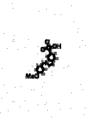 COc1ccc(Cn2ccc3ccc(-c4c(O)c(=O)c4=O)cc32)cc1